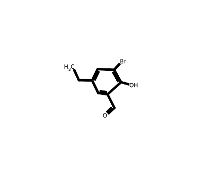 CCc1cc(Br)c(O)c(C=O)c1